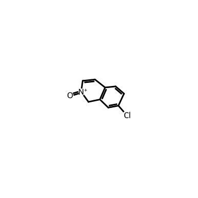 O=[N+]1C=Cc2ccc(Cl)cc2C1